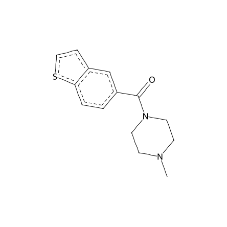 CN1CCN(C(=O)c2ccc3sccc3c2)CC1